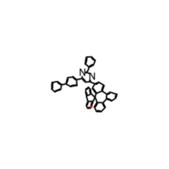 c1ccc(-c2ccc(-c3cc(-c4ccc5c(c4)C4(c6ccccc6-c6ccccc6-5)c5ccccc5-c5ccccc54)nc(-c4ccccc4)n3)cc2)cc1